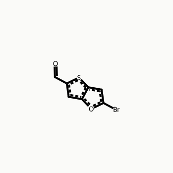 O=Cc1cc2oc(Br)cc2s1